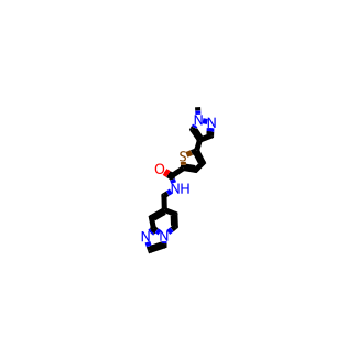 Cn1cc(-c2ccc(C(=O)NCc3ccn4ccnc4c3)s2)cn1